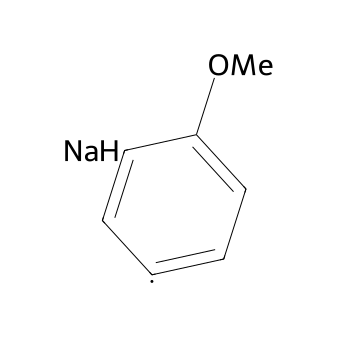 COc1cc[c]cc1.[NaH]